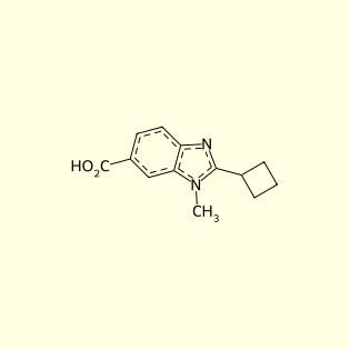 Cn1c(C2CCC2)nc2ccc(C(=O)O)cc21